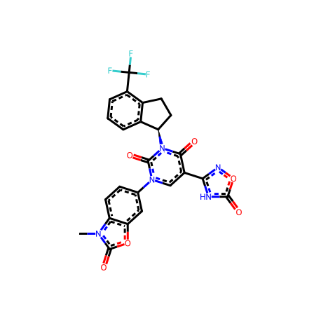 Cn1c(=O)oc2cc(-n3cc(-c4noc(=O)[nH]4)c(=O)n([C@@H]4CCc5c4cccc5C(F)(F)F)c3=O)ccc21